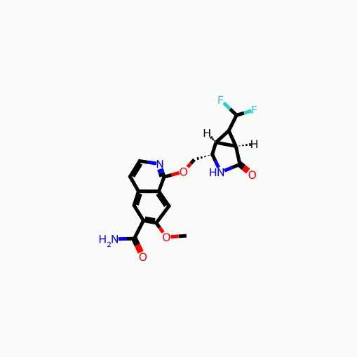 COc1cc2c(OC[C@H]3NC(=O)[C@@H]4C(C(F)F)[C@@H]43)nccc2cc1C(N)=O